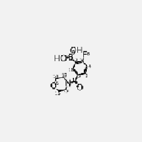 O=C(c1ccc(F)c(B(O)O)c1)N1CCOCC1